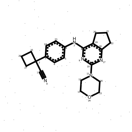 N#CC1(c2ccc(Nc3nc(N4CCOCC4)nc4c3CCC4)cc2)CCC1